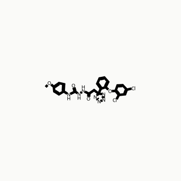 COc1ccc(NC(=O)NNC(=O)CC2(c3ccccc3Oc3ccc(Cl)cc3Cl)N=NN=N2)cc1